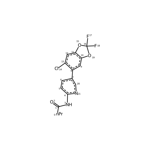 CCCC(=O)Nc1ccc(-c2cc3c(cc2Cl)OC(F)(F)O3)cn1